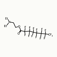 CCN(CC)CCOC(=O)C(F)(F)C(F)(F)C(F)(F)C(F)(F)C(F)(F)C(F)(F)C(F)(F)F